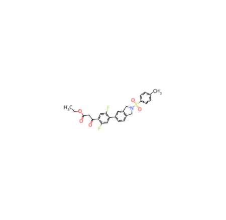 CCOC(=O)CC(=O)c1cc(F)c(-c2ccc3c(c2)CN(S(=O)(=O)c2ccc(C)cc2)C3)cc1F